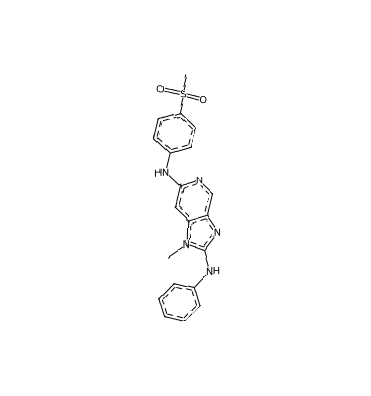 Cn1c(Nc2ccccc2)nc2cnc(Nc3ccc(S(C)(=O)=O)cc3)cc21